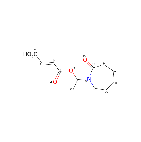 CC(OC(=O)C=CC(=O)O)N1CCCCCC1=O